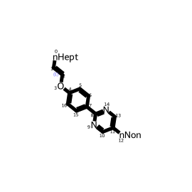 CCCCCCC/C=C/Oc1ccc(-c2ncc(CCCCCCCCC)cn2)cc1